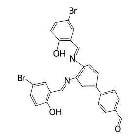 O=Cc1ccc(-c2ccc(N=Cc3cc(Br)ccc3O)c(N=Cc3cc(Br)ccc3O)c2)cc1